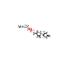 COCCOCOCc1ccc(-c2ccc(F)cc2)cc1